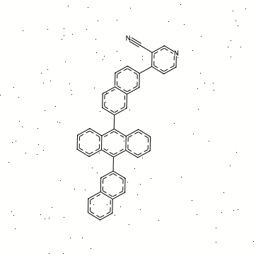 N#Cc1cnccc1-c1ccc2ccc(-c3c4ccccc4c(-c4ccc5ccccc5c4)c4ccccc34)cc2c1